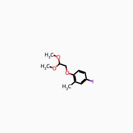 COC(COc1ccc(I)cc1C)OC